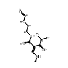 CN/C=C(\C(=N)C(F)F)C(=O)OCCOC=O